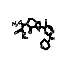 CC(C(=O)OC(C)(C)C)N1CCn2cc(-c3nc(NC4CCOCC4)ncc3Cl)nc2C1=O